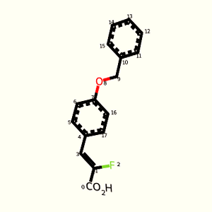 O=C(O)/C(F)=C/c1ccc(OCc2ccccc2)cc1